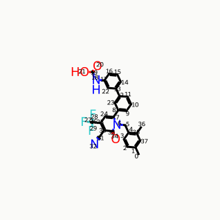 Cc1ccc(Cn2c(-c3cccc(-c4cccc(NC(=O)O)c4)c3)cc(C(F)(F)F)c(C#N)c2=O)c(C)c1